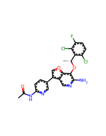 CC(=O)Nc1ccc(-c2coc3c(O[C@H](C)c4c(Cl)ccc(F)c4Cl)c(N)ncc23)cn1